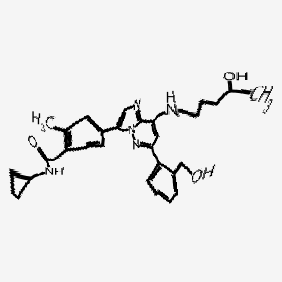 Cc1cc(-c2cnc3c(NCCCC(C)O)cc(-c4ccccc4CO)nn23)ccc1C(=O)NC1CC1